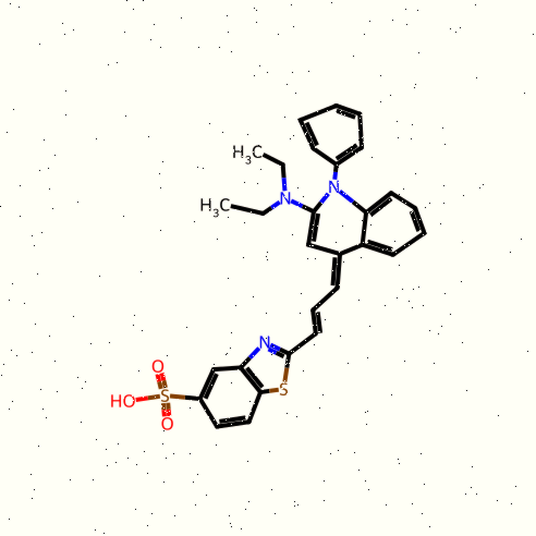 CCN(CC)C1=C/C(=C\C=C\c2nc3cc(S(=O)(=O)O)ccc3s2)c2ccccc2N1c1ccccc1